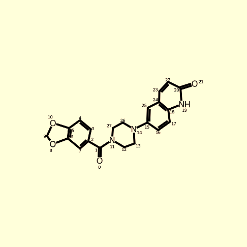 O=C(c1ccc2c(c1)OCO2)N1CCN(c2ccc3[nH]c(=O)ccc3c2)CC1